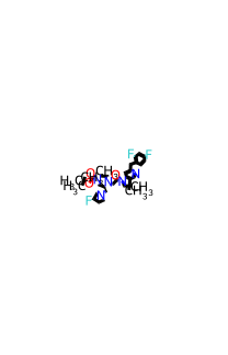 C[C@@H]1CN(CC(=O)N2CC(C)(C)c3cnc(Cc4ccc(F)cc4F)cc32)[C@@H](CN2CC[C@H](F)C2)CN1C(=O)OC(C)(C)C